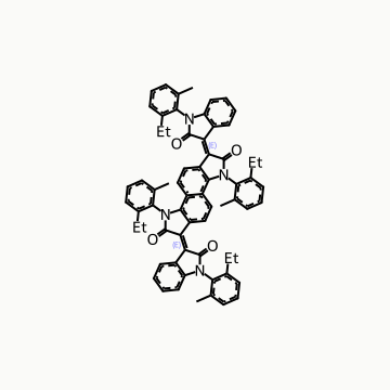 CCc1cccc(C)c1N1C(=O)/C(=C2/C(=O)N(c3c(C)cccc3CC)c3c2ccc2c4c(ccc32)/C(=C2\C(=O)N(c3c(C)cccc3CC)c3ccccc32)C(=O)N4c2c(C)cccc2CC)c2ccccc21